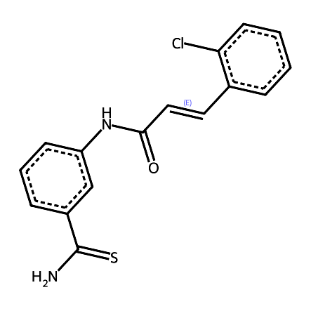 NC(=S)c1cccc(NC(=O)/C=C/c2ccccc2Cl)c1